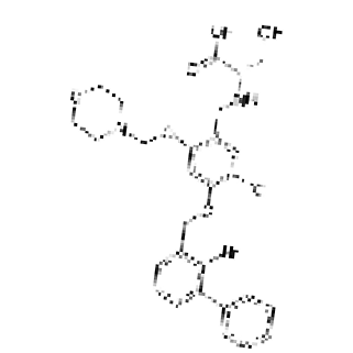 O=C(O)[C@H](CO)NCc1cc(Cl)c(OCc2cccc(-c3ccccc3)c2Br)cc1OCN1CCOCC1